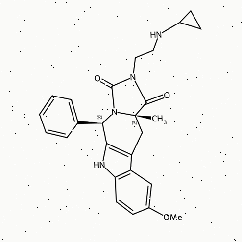 COc1ccc2[nH]c3c(c2c1)C[C@@]1(C)C(=O)N(CCNC2CC2)C(=O)N1[C@@H]3c1ccccc1